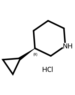 C1CNC[C@@H](C2CC2)C1.Cl